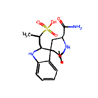 CC(C1Nc2ccccc2C12CC(C(N)=O)NC21CCCCC1)S(=O)(=O)O